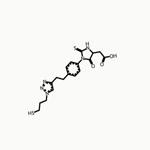 O=C(O)CC1NC(=S)N(c2ccc(CCc3cn(CCCS)nn3)cc2)C1=O